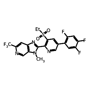 CCS(=O)(=O)c1cc(-c2cc(F)c(F)cc2F)cnc1-c1nc2cc(C(F)(F)F)ncc2n1C